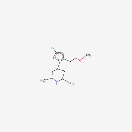 COCCc1cc(Cl)sc1C1CC(C)NC(C)C1